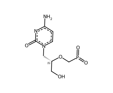 Nc1ccn(C[C@@H](CO)OCP(=O)=O)c(=O)n1